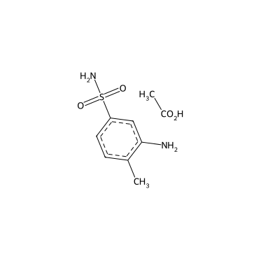 CC(=O)O.Cc1ccc(S(N)(=O)=O)cc1N